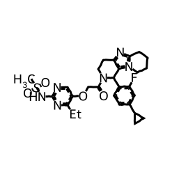 CCc1nc(NS(C)(=O)=O)ncc1OCC(=O)N1CCc2nc3n(c2C1c1ccc(C2CC2)cc1F)CCCC3